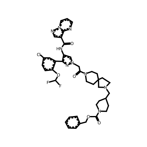 O=C(Nc1cn(CC(=O)N2CCC3(CCN(CC4CCN(C(=O)OCc5ccccc5)CC4)C3)CC2)nc1-c1cc(Cl)ccc1OC(F)F)c1cnn2cccnc12